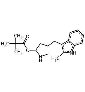 Cc1[nH]c2ccccc2c1CC1CNC(OC(=O)C(C)(C)C)C1